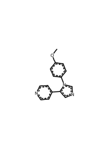 COc1ccc(-n2cncc2-c2ccncc2)cc1